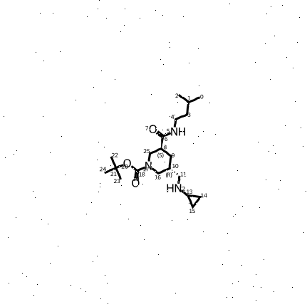 CC(C)CCNC(=O)[C@H]1C[C@H](CNC2CC2)CN(C(=O)OC(C)(C)C)C1